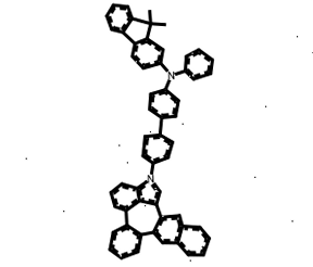 CC1(C)c2ccccc2-c2ccc(N(c3ccccc3)c3ccc(-c4ccc(-n5cc6c7c(cccc75)-c5ccccc5-c5cc7ccccc7cc5-6)cc4)cc3)cc21